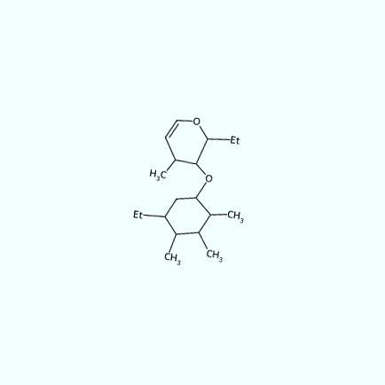 CCC1CC(OC2C(C)C=COC2CC)C(C)C(C)C1C